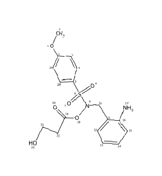 COc1ccc(S(=O)(=O)N(Cc2ccccc2N)OC(=O)CCO)cc1